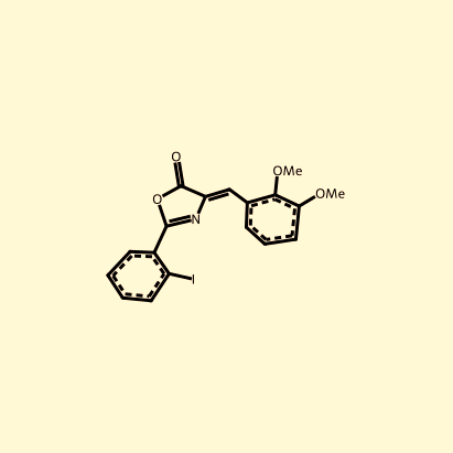 COc1cccc(/C=C2\N=C(c3ccccc3I)OC2=O)c1OC